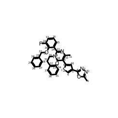 Cc1nnc(-c2csc(-c3c(C)nc(-c4cccc(F)c4OCc4ccccc4)n(CCc4ccccc4)c3=O)c2)o1